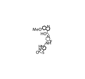 COc1ccc2nccc([C@H](O)CN3CC[C@H](NCc4ccc5c(n4)NC(=O)CS5)[C@H](F)C3)c2c1